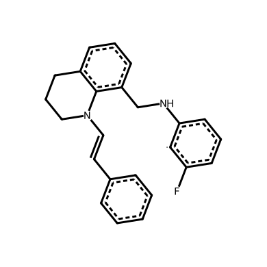 Fc1[c]c(NCc2cccc3c2N(C=Cc2ccccc2)CCC3)ccc1